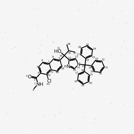 CNC(=O)c1ccc2cc(C(O)(c3cn(C(c4ccccc4)(c4ccccc4)c4ccccc4)cn3)C(C)C)ccc2c1Cl